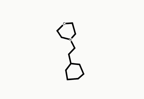 C1CCC(CCN2CCOCC2)CC1